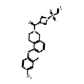 C=CS(=O)(=O)N1CC(C(=O)N2CCc3c(cccc3Nc3ccc(C(F)(F)F)cc3F)C2)C1